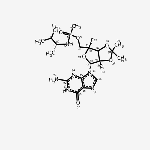 CC(C)[C@@H](C)NP(C)(=O)OC[C@@]1(F)O[C@@H](n2cnc3c(=O)[nH]c(N)nc32)[C@H]2OC(C)(C)OC21